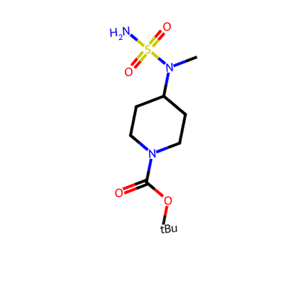 CN(C1CCN(C(=O)OC(C)(C)C)CC1)S(N)(=O)=O